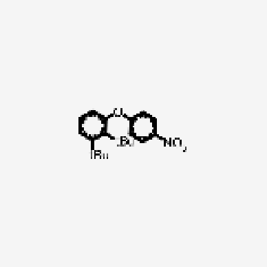 CC(C)(C)c1cccc(Oc2ccc([N+](=O)[O-])cc2)c1C(C)(C)C